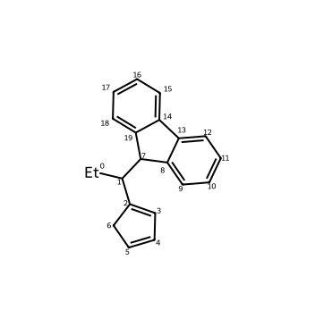 CCC(C1=CC=CC1)C1c2ccccc2-c2ccccc21